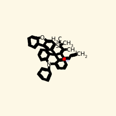 C=C/C=C\C1=C(C)[Si](C)(C)c2cc3oc4ccccc4c3cc2C12c1ccccc1N(c1ccccc1)c1ccccc12